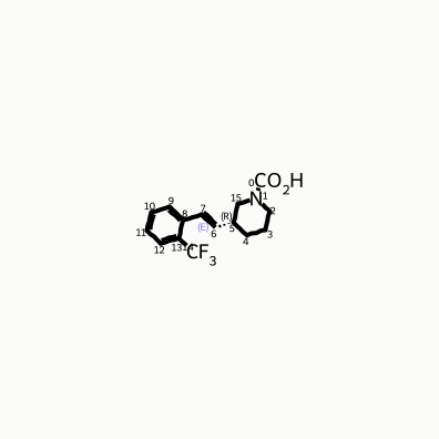 O=C(O)N1CCC[C@H](/C=C/c2ccccc2C(F)(F)F)C1